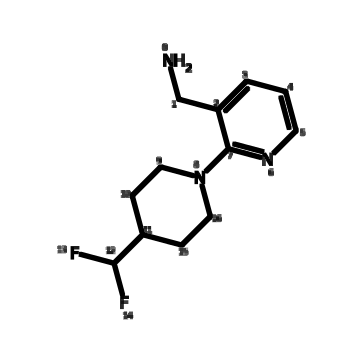 NCc1cccnc1N1CCC(C(F)F)CC1